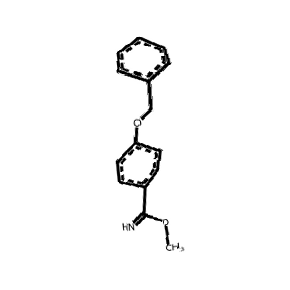 COC(=N)c1ccc(OCc2ccccc2)cc1